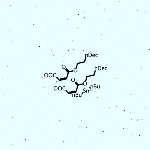 CCCCCCCCCCCCOC(=O)/C=C\C(=O)[O-].CCCCCCCCCCCCOC(=O)/C=C\C(=O)[O-].CCC[CH2][Sn+2][CH2]CCC